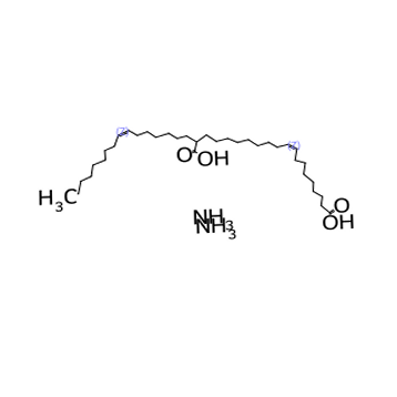 CCCCCCCC/C=C\CCCCCCC(CCCCCCCC/C=C\CCCCCCCC(=O)O)C(=O)O.N.N